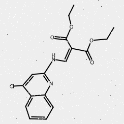 CCOC(=O)C(=CNc1cc(Cl)c2ccccc2n1)C(=O)OCC